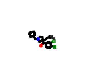 CCC[C@]1(C(=O)c2ccc(Cl)c(Cl)c2)CCN(Cc2ccccc2)C1